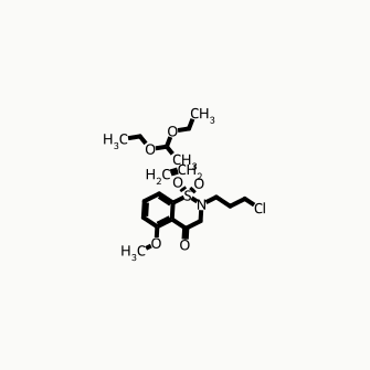 C=C.CCOC(C)OCC.COc1cccc2c1C(=O)CN(CCCCl)S2(=O)=O